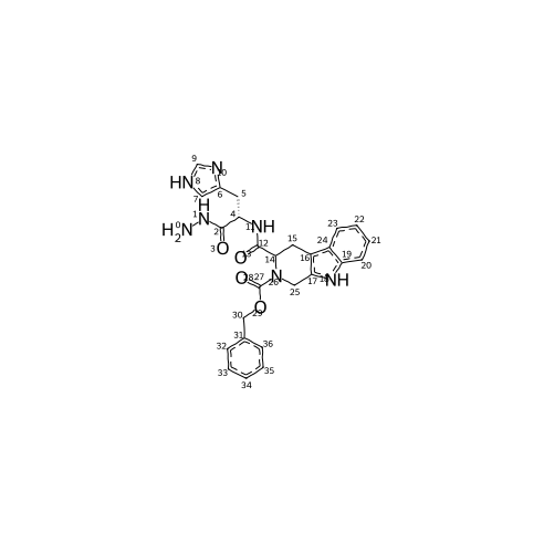 NNC(=O)[C@H](Cc1c[nH]cn1)NC(=O)C1Cc2c([nH]c3ccccc23)CN1C(=O)OCc1ccccc1